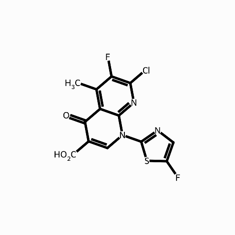 Cc1c(F)c(Cl)nc2c1c(=O)c(C(=O)O)cn2-c1ncc(F)s1